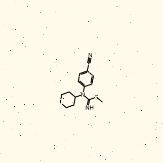 CSC(=N)N(c1ccc(C#N)cc1)C1CCCCC1